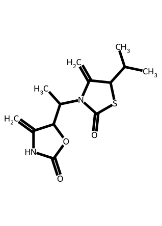 C=C1NC(=O)OC1C(C)N1C(=C)C(C(C)C)SC1=O